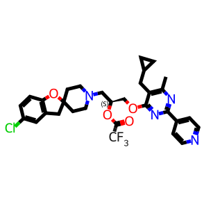 Cc1nc(-c2ccncc2)nc(OC[C@H](CN2CCC3(CC2)Cc2cc(Cl)ccc2O3)OC(=O)C(F)(F)F)c1CC1CC1